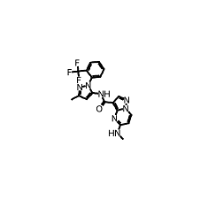 CNc1ccn2ncc(C(=O)Nc3cc(C)nn3-c3ccccc3C(F)(F)F)c2n1